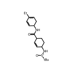 CCC1=CCC(NC(=O)C2C=CC(N[S+]([O-])C(C)(C)C)CC2)C=C1